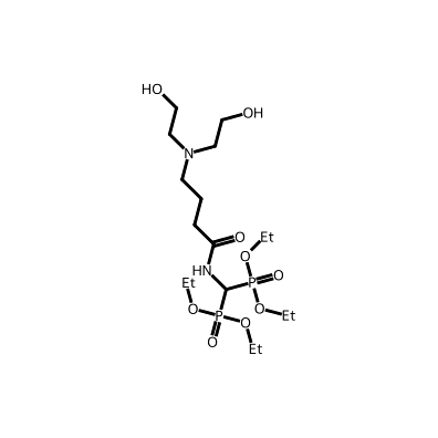 CCOP(=O)(OCC)C(NC(=O)CCCN(CCO)CCO)P(=O)(OCC)OCC